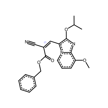 COc1cccn2c(/C=C(/C#N)C(=O)OCc3ccccc3)c(OC(C)C)nc12